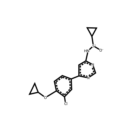 [O-][S+](Nc1cc(-c2ccc(OC3CC3)c(Cl)c2)ncn1)C1CC1